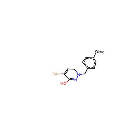 COc1ccc(CN2CC=C(Br)C(O)=N2)cc1